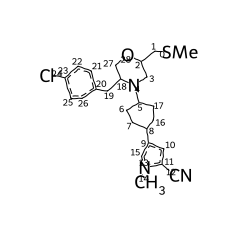 CSCC1CN(C2CCC(c3cc(C#N)n(C)c3)CC2)C(Cc2ccc(Cl)cc2)CO1